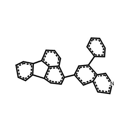 c1ccc(-c2cc(-c3ccc4c5c(cccc35)-c3ccccc3-4)cc3ccncc23)cc1